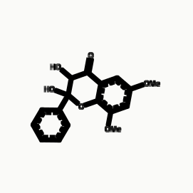 COc1cc(OC)c2c(c1)C(=O)C(O)C(O)(c1ccccc1)O2